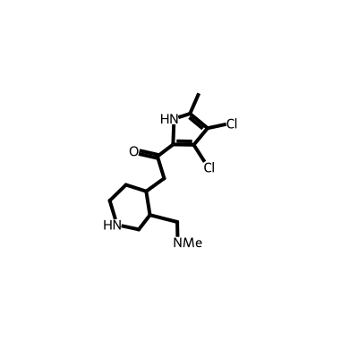 CNCC1CNCCC1CC(=O)c1[nH]c(C)c(Cl)c1Cl